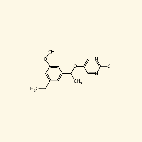 CCc1cc(OC)cc(C(C)Oc2cnc(Cl)nc2)c1